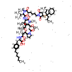 CCCCCCc1ccc(C[C@@H](NC(=O)[C@H](C)[C@@H](OC)[C@@H]2CCCN2C(=O)C[C@@H](OC)[C@H]([C@@H](C)CC)N(C)C(=O)[C@@H](NC(=O)[C@H](C(C)C)N(C)C(=O)CCCCCN2C(=O)CC(SC(CCC)(CCC)C3CCCCCC3)C2=O)C(C)C)C(=O)O)cc1